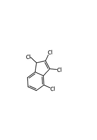 ClC1=C(Cl)C(Cl)c2cccc(Cl)c21